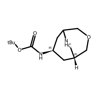 CC(C)(C)OC(=O)N[C@H]1CC2COC[C@@H](CN2)C1